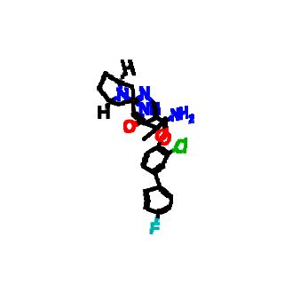 CC(C)(Oc1ccc(-c2ccc(F)cc2)cc1Cl)C(=O)N[C@H]1C[C@H]2CC[C@@H](C1)N2c1ccc(C(N)=O)cn1